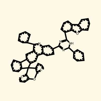 c1ccc(-c2nc3cc(C4=NC(c5ccccc5)NC(c5cccc6c5oc5ccccc56)=N4)ccc3c3cc4c(cc23)-c2ccccc2C42c3ccccc3Oc3ccccc32)cc1